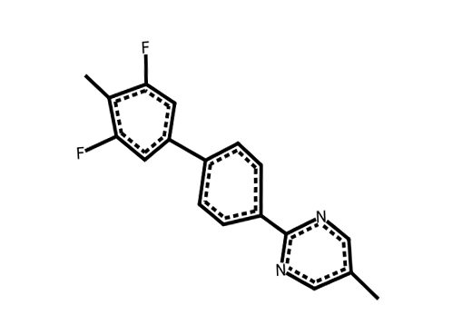 Cc1cnc(-c2ccc(-c3cc(F)c(C)c(F)c3)cc2)nc1